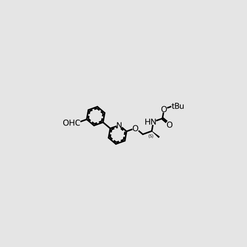 C[C@@H](COc1cccc(-c2cccc(C=O)c2)n1)NC(=O)OC(C)(C)C